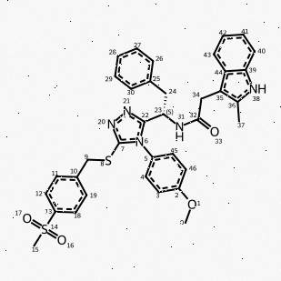 COc1ccc(-n2c(SCc3ccc(S(C)(=O)=O)cc3)nnc2[C@H](Cc2ccccc2)NC(=O)Cc2c(C)[nH]c3ccccc23)cc1